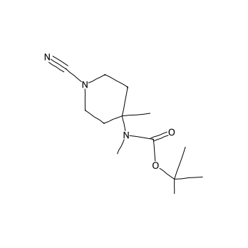 CN(C(=O)OC(C)(C)C)C1(C)CCN(C#N)CC1